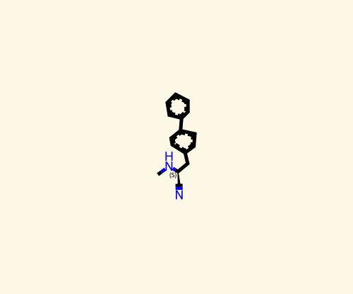 CN[C@H](C#N)Cc1ccc(-c2ccccc2)cc1